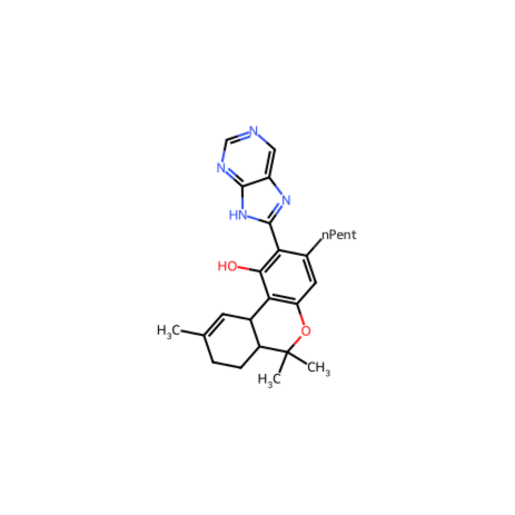 CCCCCc1cc2c(c(O)c1-c1nc3cncnc3[nH]1)C1C=C(C)CCC1C(C)(C)O2